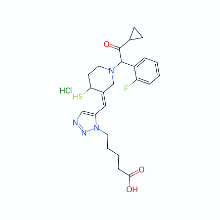 Cl.O=C(O)CCCCn1nncc1/C=C1/CN(C(C(=O)C2CC2)c2ccccc2F)CCC1S